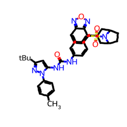 Cc1ccc(-n2nc(C(C)(C)C)cc2NC(=O)Nc2ccc(CC3CC4CCC(C3)N4S(=O)(=O)c3cccc4nonc34)cc2)cc1